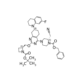 CC(C)(C)OC(=O)N1CC[C@H]1COc1nc2c(c(N3CCN(C(=O)OCc4ccccc4)[C@@H](CC#N)C3)n1)CC[C@@H](N1CCCc3ccc(F)cc31)C2